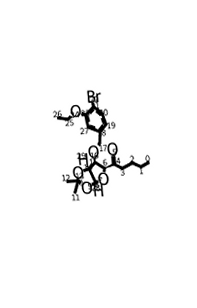 CCCCC(=O)[C@H]1O[C@@H]2OC(C)(C)O[C@@H]2[C@H]1OCc1ccc(Br)c(OCC)c1